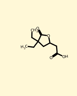 CCC1(CC)CC(CC(=O)O)OC1=O